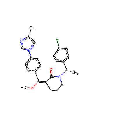 COC(=C1CCCN([C@@H](C)c2ccc(F)cc2)C1=O)c1ccc(-n2cnc(C)c2)cc1